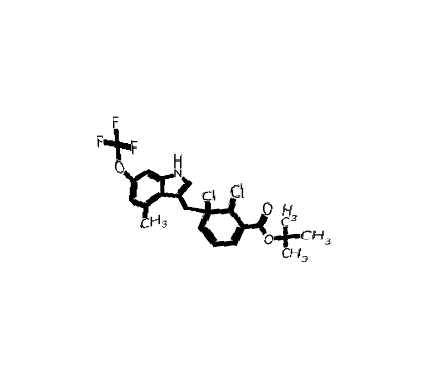 Cc1cc(OC(F)(F)F)cc2[nH]cc(CC3(Cl)C=CC=C(C(=O)OC(C)(C)C)C3Cl)c12